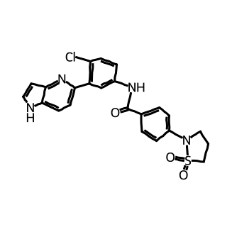 O=C(Nc1ccc(Cl)c(-c2ccc3[nH]ccc3n2)c1)c1ccc(N2CCCS2(=O)=O)cc1